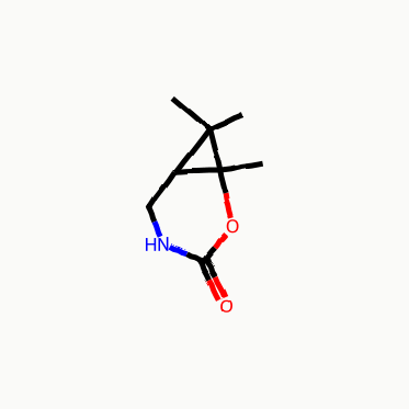 CC1(C)C2CNC(=O)OC21C